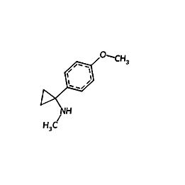 CNC1(c2ccc(OC)cc2)CC1